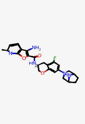 Cc1ccc2c(N)c(C(=O)N[C@H]3COc4cc(N5CC6CCC(C5)N6)cc(F)c4C3)oc2n1